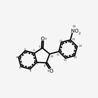 O=C1c2ccccc2C(=O)C1c1cccc([N+](=O)[O-])c1